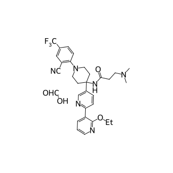 CCOc1ncccc1-c1ccc(C2(NC(=O)CCN(C)C)CCN(c3ccc(C(F)(F)F)cc3C#N)CC2)cn1.O=CO